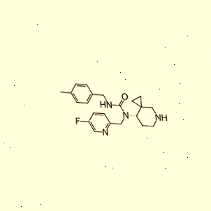 Cc1ccc(CNC(=O)N(Cc2ccc(F)cn2)[C@H]2CCNCC23CC3)cc1